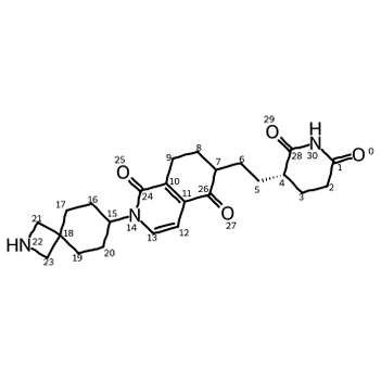 O=C1CC[C@H](CCC2CCc3c(ccn(C4CCC5(CC4)CNC5)c3=O)C2=O)C(=O)N1